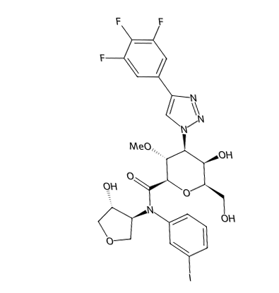 CO[C@@H]1[C@@H](n2cc(-c3cc(F)c(F)c(F)c3)nn2)[C@@H](O)[C@@H](CO)O[C@H]1C(=O)N(c1cccc(I)c1)[C@H]1COC[C@@H]1O